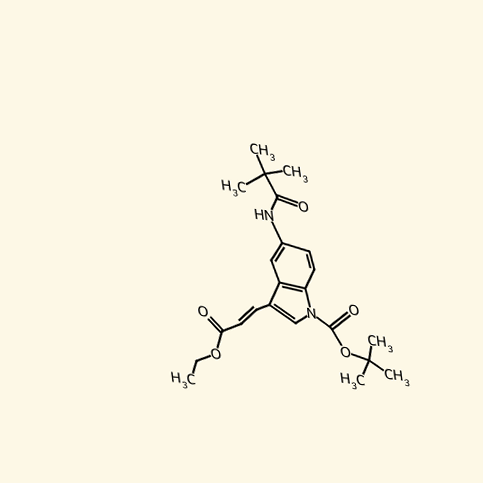 CCOC(=O)C=Cc1cn(C(=O)OC(C)(C)C)c2ccc(NC(=O)C(C)(C)C)cc12